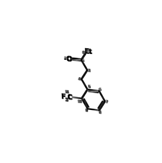 CCC(=O)CCc1ccccc1C(F)(F)F